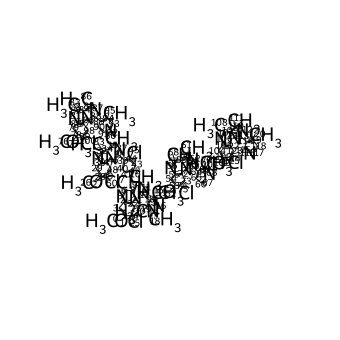 COc1cc2nc(C)c3c(C)nc(-c4c(C)nn(C)c4C)n3c2cc1Cl.COc1cc2nc(C)c3c(C)nc(-c4ccccc4Cl)n3c2cc1Cl.COc1cc2nc(C)c3c(C)nc(-c4cccnc4C)n3c2cc1Cl.COc1cc2nc(C)c3c(C)nc(-c4ccncc4C)n3c2cc1Cl.COc1cc2nc(C)c3c(C)nc(-c4cnccc4C)n3c2cc1Cl